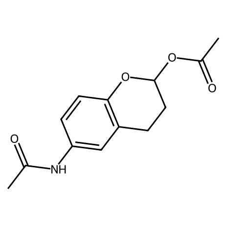 CC(=O)Nc1ccc2c(c1)CCC(OC(C)=O)O2